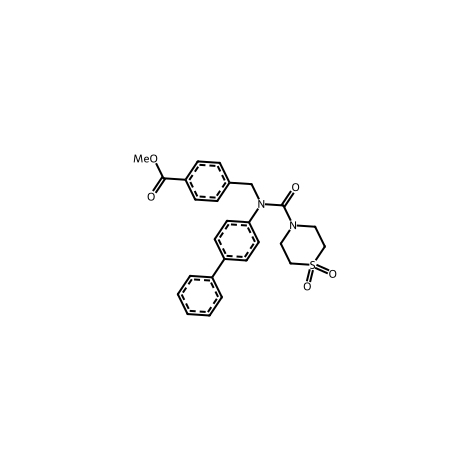 COC(=O)c1ccc(CN(C(=O)N2CCS(=O)(=O)CC2)c2ccc(-c3ccccc3)cc2)cc1